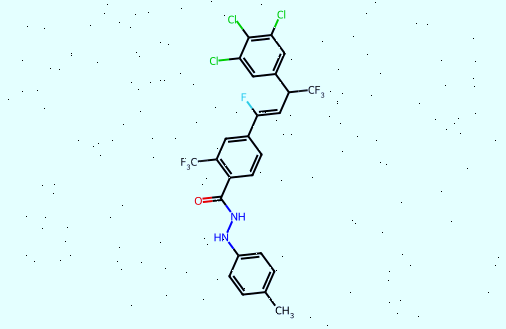 Cc1ccc(NNC(=O)c2ccc(C(F)=CC(c3cc(Cl)c(Cl)c(Cl)c3)C(F)(F)F)cc2C(F)(F)F)cc1